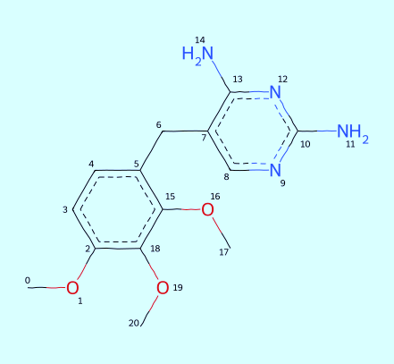 COc1ccc(Cc2cnc(N)nc2N)c(OC)c1OC